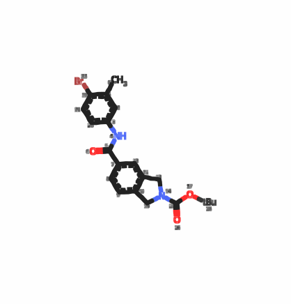 Cc1cc(NC(=O)c2ccc3c(c2)CN(C(=O)OC(C)(C)C)C3)ccc1Br